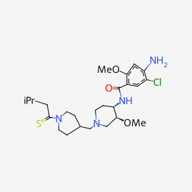 COc1cc(N)c(Cl)cc1C(=O)N[C@@H]1CCN(CC2CCN(C(=S)CC(C)C)CC2)C[C@@H]1OC